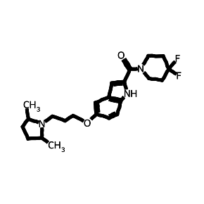 CC1CCC(C)N1CCCOc1ccc2[nH]c(C(=O)N3CCC(F)(F)CC3)cc2c1